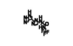 CC(C)(Nc1ccnc(-c2c[nH]c3ncncc23)n1)C(=O)NCC(F)(F)F